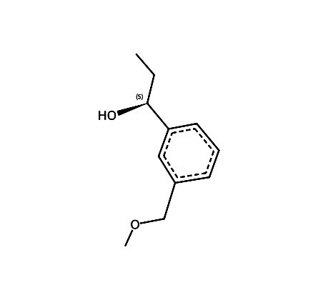 CC[C@H](O)c1cccc(COC)c1